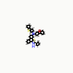 c1ccc(C2Nc3c(c4cc(N(c5ccc6c(c5)oc5ccccc56)c5ccc6c(c5)sc5ccccc56)ccc4c4ccccc34)S2)cc1